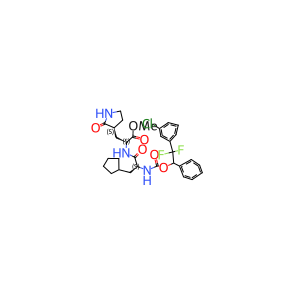 COC(=O)[C@H](C[C@@H]1CCNC1=O)NC(=O)[C@H](CC1CCCC1)NC(=O)OC(c1ccccc1)C(F)(F)c1cccc(Cl)c1